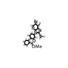 COC(=O)c1ccccc1-c1ccc(-n2c(C3CC3)nc3c(C)c(Br)cnc32)cc1